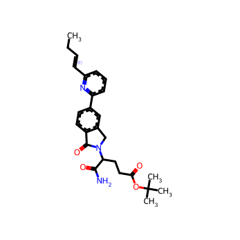 CC/C=C/c1cccc(-c2ccc3c(c2)CN(C(CCC(=O)OC(C)(C)C)C(N)=O)C3=O)n1